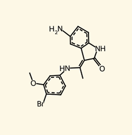 COc1cc(NC(C)=C2C(=O)Nc3ccc(N)cc32)ccc1Br